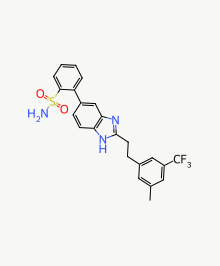 Cc1cc(CCc2nc3cc(-c4ccccc4S(N)(=O)=O)ccc3[nH]2)cc(C(F)(F)F)c1